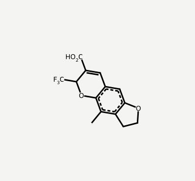 Cc1c2c(cc3c1OC(C(F)(F)F)C(C(=O)O)=C3)OCC2